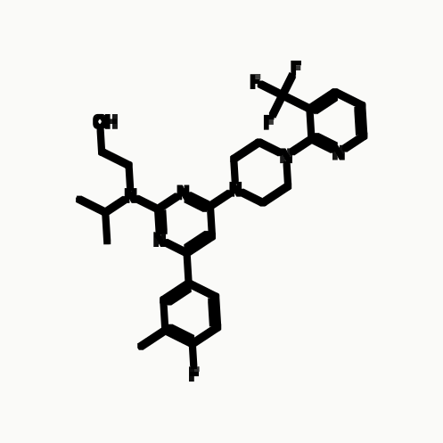 Cc1cc(-c2cc(N3CCN(c4ncccc4C(F)(F)F)CC3)nc(N(CCO)C(C)C)n2)ccc1F